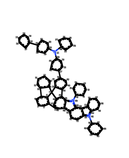 Cc1cccc2c1C1(c3ccccc3-2)c2cc(-c3ccc(N(c4ccccc4)c4ccc(-c5ccccc5)cc4)cc3)ccc2-c2c1ccc1c3ccc4c(c5ccccc5n4-c4ccccc4)c3n(-c3ccccc3)c21